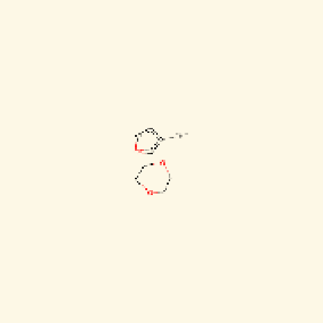 C1COCCO1.O=Cc1ccoc1